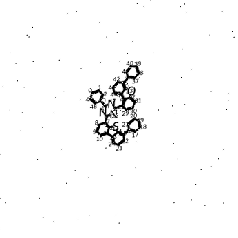 c1ccc(-c2nc(-c3cccc4c3sc3c(-c5ccccc5)cccc34)nc(-c3cccc4oc5c(-c6ccccc6)cccc5c34)n2)cc1